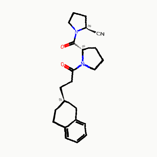 N#C[C@@H]1CCCN1C(=O)[C@@H]1CCCN1C(=O)CC[C@@H]1CCc2ccccc2C1